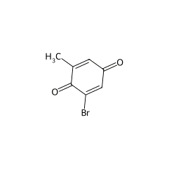 CC1=CC(=O)C=C(Br)C1=O